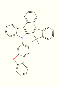 CC1(C)c2ccccc2-c2c1c1c(c3ccccc23)c2ccccc2n1-c1ccc2c(c1)oc1ccccc12